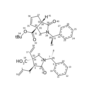 C=CC[C@@H]1C(=O)N([C@H](C)c2ccccc2)C[C@@]1(C=C)C(=O)O.C[C@H](c1ccccc1)N1C[C@]2(C(=O)OC(C)(C)C)C=CC[C@@H]2C1=O